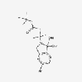 CC(C)(C)OC(=O)CC(C)(C)N1Cc2cc(Br)ccc2S1(O)O